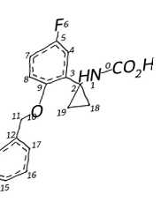 O=C(O)NC1(c2cc(F)ccc2OCc2ccccc2)CC1